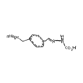 CCCCCCCCc1ccc(C=NNC(=O)O)cc1